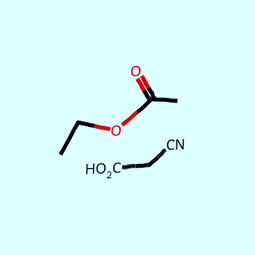 CCOC(C)=O.N#CCC(=O)O